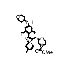 COC(=O)N1CCO[C@@H](Cc2c(-c3c(F)cc(NC4CCOCC4)cc3F)nc3cc(C)ccn23)C1